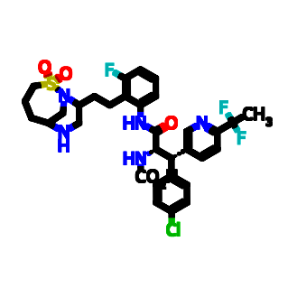 CC(F)(F)c1ccc([C@H](c2ccc(Cl)cc2)[C@H](NC(=O)O)C(=O)Nc2cccc(F)c2CCC2CNC3CCCS(=O)(=O)N2C3)cn1